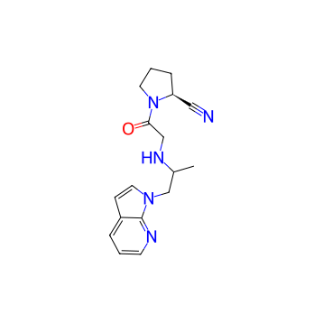 CC(Cn1ccc2cccnc21)NCC(=O)N1CCC[C@H]1C#N